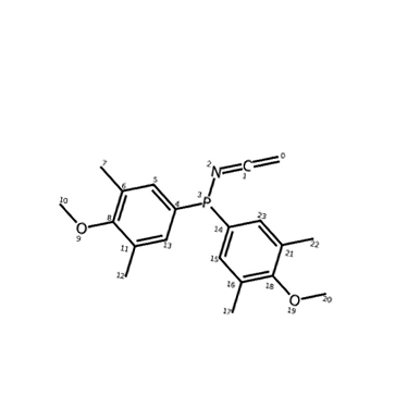 C=C=NP(c1cc(C)c(OC)c(C)c1)c1cc(C)c(OC)c(C)c1